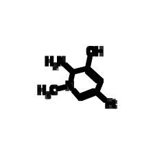 CCC1=CN(C)C(N)C(O)=C1